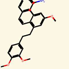 COc1cc(CCc2ccc(OC)c(OC)c2)c(/C=C\c2ccccc2)c(CC(C)N)c1